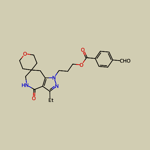 CCc1nn(CCCOC(=O)c2ccc(C=O)cc2)c2c1C(=O)NCC1(CCOCC1)C2